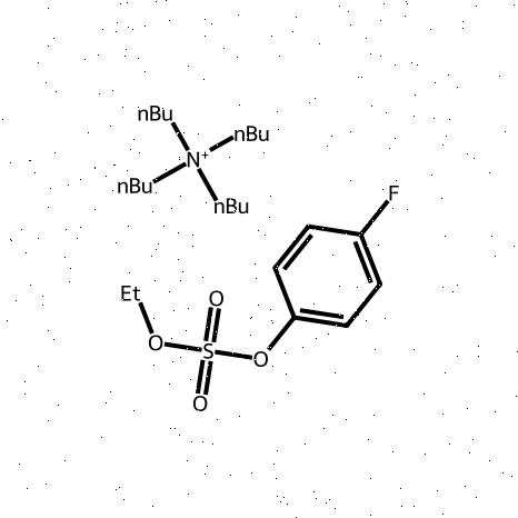 CCCC[N+](CCCC)(CCCC)CCCC.CCOS(=O)(=O)Oc1ccc(F)cc1